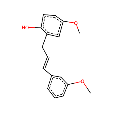 COc1cccc(C=CCc2cc(OC)ccc2O)c1